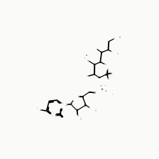 Nc1ccn(C2OC(COP(=O)(O)OC3(C(=O)O)CC(O)C(NS)C(C(O)C(O)CO)O3)C(O)C2O)c(=O)n1